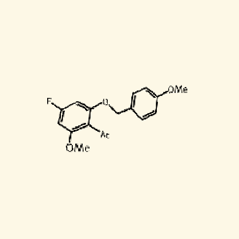 COc1ccc(COc2cc(F)cc(OC)c2C(C)=O)cc1